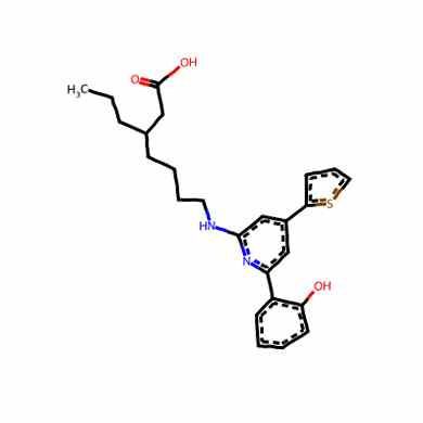 CCCC(CCCCNc1cc(-c2cccs2)cc(-c2ccccc2O)n1)CC(=O)O